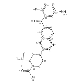 CC(C)(C)C1CN(c2cnc3ccc(C(=O)c4cc(N)ccc4F)cc3n2)CCN1C(=O)O